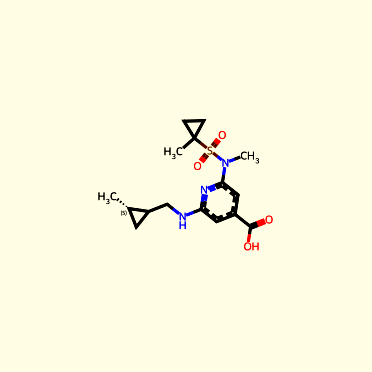 C[C@H]1CC1CNc1cc(C(=O)O)cc(N(C)S(=O)(=O)C2(C)CC2)n1